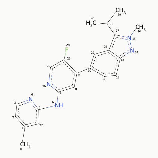 [CH2]c1ccnc(Nc2cc(-c3ccc4nn(C)c(C(C)C)c4c3)c(F)cn2)c1